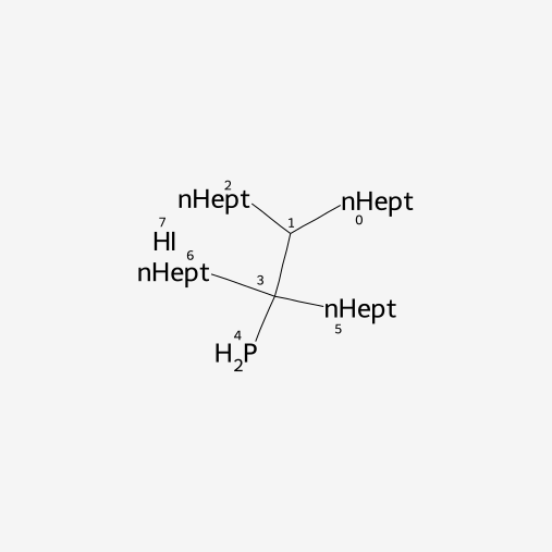 CCCCCCCC(CCCCCCC)C(P)(CCCCCCC)CCCCCCC.I